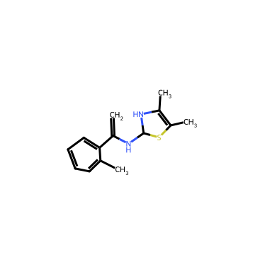 C=C(NC1NC(C)=C(C)S1)c1ccccc1C